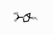 CC12CCN(C(=O)O)C1C2